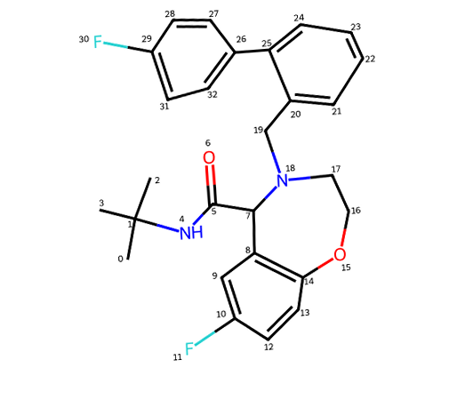 CC(C)(C)NC(=O)C1c2cc(F)ccc2OCCN1Cc1ccccc1-c1ccc(F)cc1